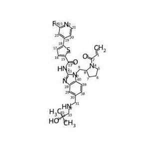 C=CC(=O)N1CCCC1Cn1c(NC(=O)c2ccc(-c3ccnc(F)c3)s2)nc2cc(CNCC(C)(C)O)ccc21